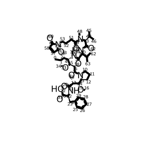 CC[C@H](C)[C@@H]([C@@H](CC(=O)N1CCC[C@H]1[C@H](OC)[C@@H](C)C(=O)N[C@@H](Cc1ccccc1)C(=O)O)OC)N(C)C(=O)[C@@H](NC(=O)[C@H](C(C)C)N(C)C(=O)CCCN1C(=O)C=CC1=O)C(C)C